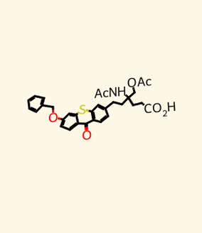 CC(=O)NC(CCC(=O)O)(CCc1ccc2c(=O)c3ccc(OCc4ccccc4)cc3sc2c1)COC(C)=O